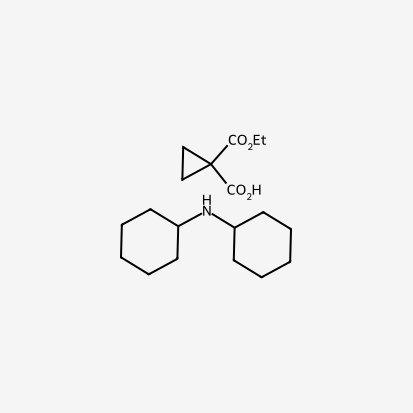 C1CCC(NC2CCCCC2)CC1.CCOC(=O)C1(C(=O)O)CC1